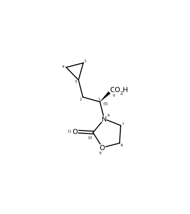 O=C(O)[C@H](CC1CC1)N1CCOC1=O